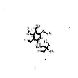 CC(CO)(CO)CO.COc1cc(C)c(C=O)c(OC)c1C=O